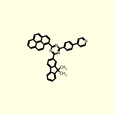 CC1(C)c2ccccc2-c2ccc(-c3nc(-c4ccc(-c5ccncc5)cc4)nc(-c4ccc5ccc6cccc7ccc4c5c67)n3)cc21